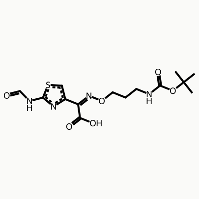 CC(C)(C)OC(=O)NCCCON=C(C(=O)O)c1csc(NC=O)n1